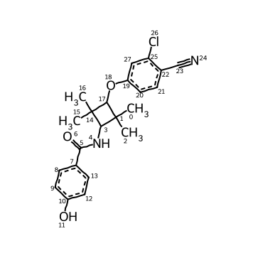 CC1(C)C(NC(=O)c2ccc(O)cc2)C(C)(C)C1Oc1ccc(C#N)c(Cl)c1